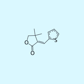 CC1(C)COC(=O)/C1=C/c1cccs1